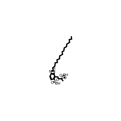 CCCCCCCCCCCCCCCCCc1nc2ccc(S(=O)(=O)O)c(CCC(C)S(=O)(=O)O)c2[nH]1